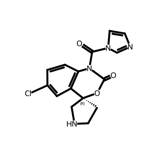 O=C1O[C@]2(CCNC2)c2cc(Cl)ccc2N1C(=O)n1ccnc1